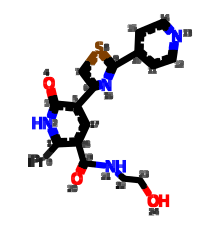 CC(C)c1[nH]c(=O)c(-c2csc(-c3ccncc3)n2)cc1C(=O)NCCO